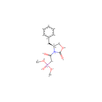 CCOP(=O)(CC(=O)N1C(=O)OC[C@@H]1Cc1ccccc1)OCC